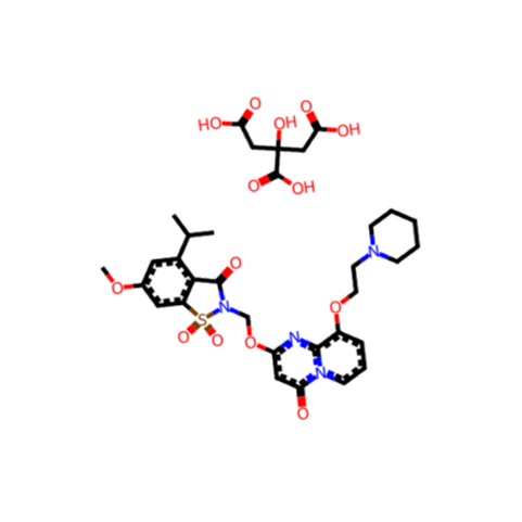 COc1cc(C(C)C)c2c(c1)S(=O)(=O)N(COc1cc(=O)n3cccc(OCCN4CCCCC4)c3n1)C2=O.O=C(O)CC(O)(CC(=O)O)C(=O)O